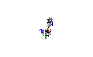 CN1CCc2c(Cl)ccc3oc(/C=C/c4nc5ccccc5s4)c(c23)C1